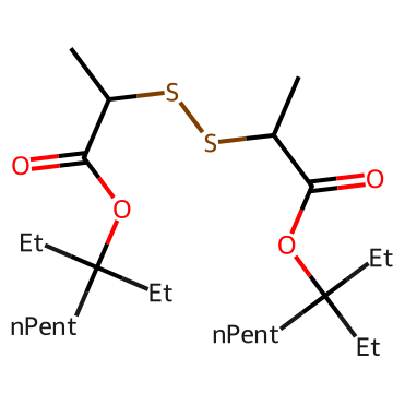 CCCCCC(CC)(CC)OC(=O)C(C)SSC(C)C(=O)OC(CC)(CC)CCCCC